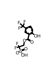 O=C(OCC(F)(F)S(=O)(=O)O)c1cc(C(F)(F)F)ccc1O